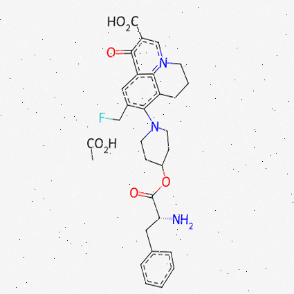 CC(=O)O.N[C@H](Cc1ccccc1)C(=O)OC1CCN(c2c(CF)cc3c(=O)c(C(=O)O)cn4c3c2CCC4)CC1